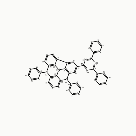 c1ccc(-c2nc(-c3ccccc3)nc(-c3cc4c5c(c3)c3cccc6c3n5-c3c(cccc3N4c3ccccc3)N6c3ccccc3)n2)cc1